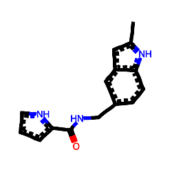 Cc1cc2cc(CNC(=O)c3ccc[nH]3)ccc2[nH]1